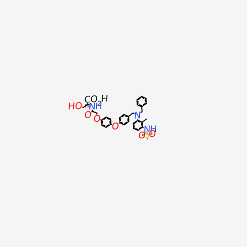 Cc1c(NS(C)(=O)=O)cccc1N(Cc1ccccc1)Cc1ccc(Oc2ccc(OCC(=O)N[C@@H](CO)C(=O)O)cc2)cc1